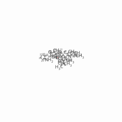 CC[C@H](C)[C@@H]([C@@H](CC(=O)N1CCCC1[C@H](OC)[C@@H](C)C(=O)N(C)CCc1ccccc1N)OC)N(C)C(=O)C(NC(=O)CN(C)C)C(C)C